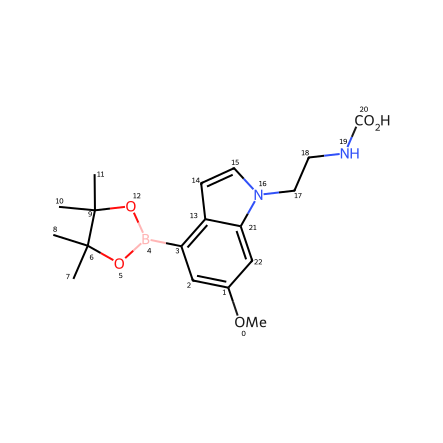 COc1cc(B2OC(C)(C)C(C)(C)O2)c2ccn(CCNC(=O)O)c2c1